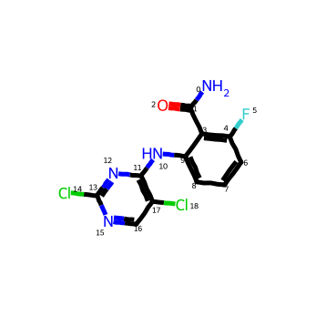 NC(=O)c1c(F)cccc1Nc1nc(Cl)ncc1Cl